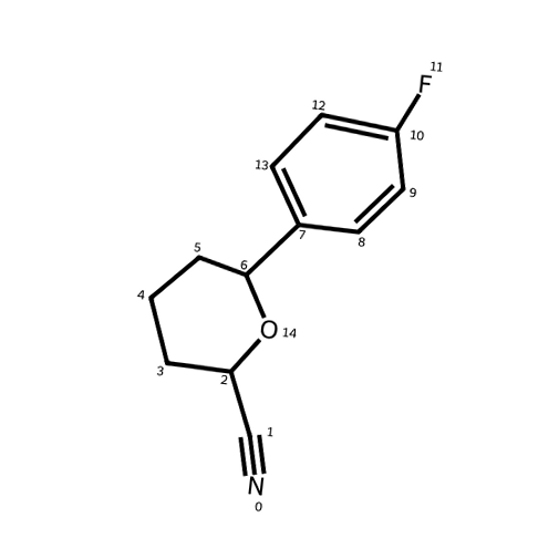 N#CC1CCCC(c2ccc(F)cc2)O1